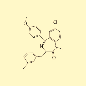 COc1ccc(C2=NC(Cc3cccc(C)c3)C(=O)N(C)c3ccc(Cl)cc32)cc1